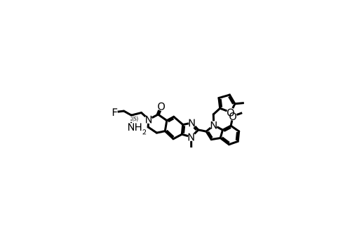 COc1cccc2cc(-c3nc4cc5c(cc4n3C)CCN(C[C@H](N)CF)C5=O)n(Cc3ccc(C)o3)c12